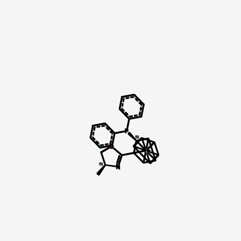 C[C@H]1COC([C]23[CH]4[CH]5[CH]6[C@]2(P(c2ccccc2)c2ccccc2)[Fe]54632789[CH]3[CH]2[CH]7[CH]8[CH]39)=N1